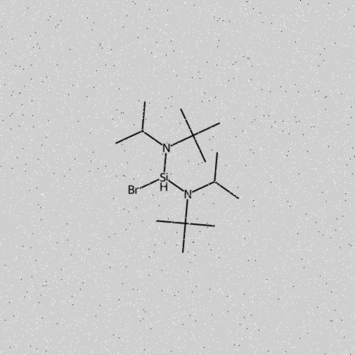 CC(C)N([SiH](Br)N(C(C)C)C(C)(C)C)C(C)(C)C